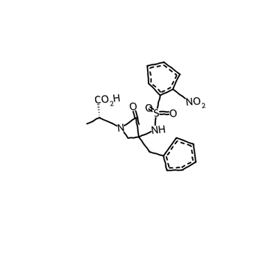 C[C@H](C(=O)O)N1CC(Cc2ccccc2)(NS(=O)(=O)c2ccccc2[N+](=O)[O-])C1=O